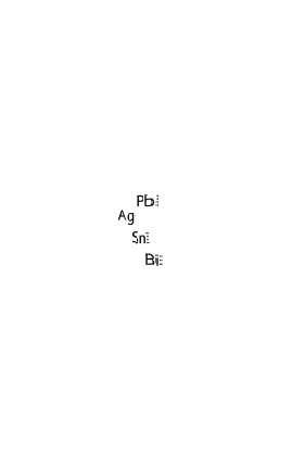 [Ag].[Bi].[Pb].[Sn]